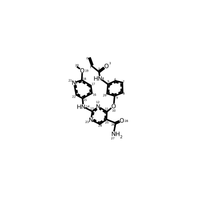 C=CC(=O)Nc1cccc(Oc2nc(Nc3ccc(OC)nc3)ncc2C(N)=O)c1